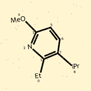 CCc1nc(OC)ccc1C(C)C